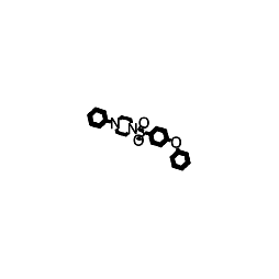 O=S(=O)(c1ccc(Oc2ccccc2)cc1)N1CCN(c2ccccc2)CC1